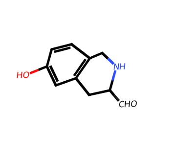 O=CC1Cc2cc(O)ccc2CN1